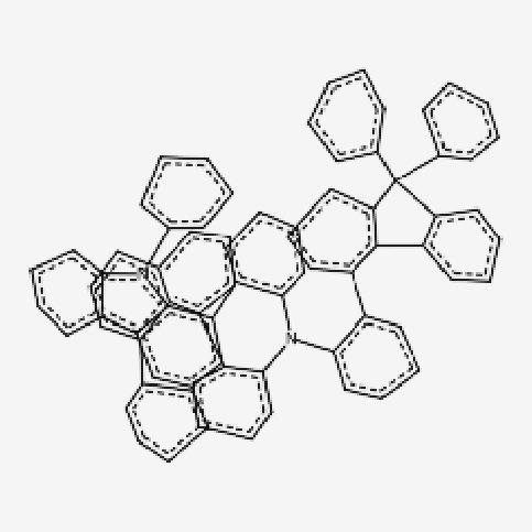 c1ccc(-c2cccc3cccc(-c4ccccc4N(c4ccccc4-c4cccc5c4-c4ccccc4C5(c4ccccc4)c4ccccc4)c4ccccc4-c4cccc5c6ccccc6n(-c6ccccc6)c45)c23)cc1